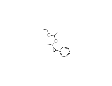 CCOC(C)OC(C)Oc1[c]cccc1